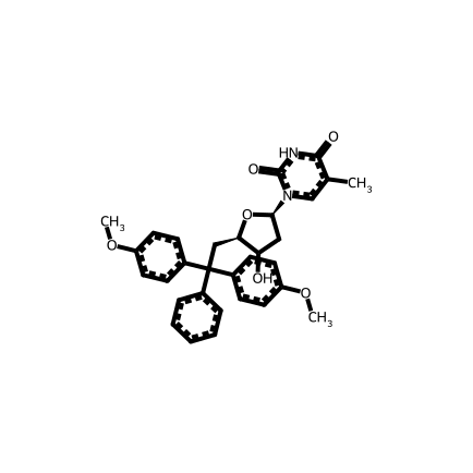 COc1ccc(C(C[C@H]2O[C@@H](n3cc(C)c(=O)[nH]c3=O)CC2O)(c2ccccc2)c2ccc(OC)cc2)cc1